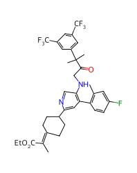 CCOC(=O)C(C)=C1CCC(c2cc(-c3ccc(F)cc3C)c(NCC(=O)C(C)(C)c3cc(C(F)(F)F)cc(C(F)(F)F)c3)cn2)CC1